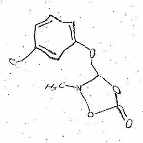 CN1OC(=O)OC1Oc1cccc(Cl)c1